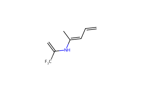 C=C/C=C(\C)NC(=C)C(F)(F)F